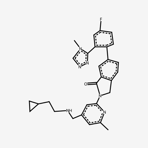 Cc1cc(CNCCC2CC2)cc(N2Cc3ccc(-c4ccc(F)cc4-c4nncn4C)cc3C2=O)n1